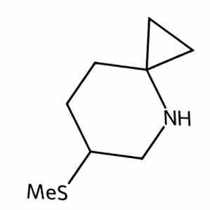 CSC1CCC2(CC2)NC1